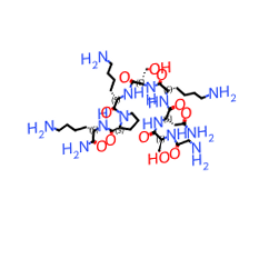 NCCCC[C@H](NC(=O)[C@@H]1CCCN1C(=O)[C@H](CCCCN)NC(=O)[C@H](CO)NC(=O)[C@H](CCCCN)NC(=O)[C@H](CC(N)=O)NC(=O)[C@H](CO)NC(=O)CN)C(N)=O